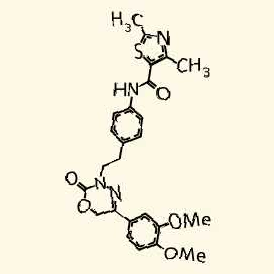 COc1ccc(C2=NN(CCc3ccc(NC(=O)c4sc(C)nc4C)cc3)C(=O)OC2)cc1OC